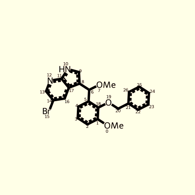 COc1cccc(C(OC)c2c[nH]c3ncc(Br)cc23)c1OCc1ccccc1